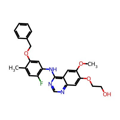 COc1cc2c(Nc3cc(OCc4ccccc4)c(C)cc3F)ncnc2cc1OCCO